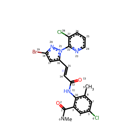 CNC(=O)c1cc(Cl)cc(C)c1NC(=O)/C=C/c1cc(Br)nn1-c1ncccc1Cl